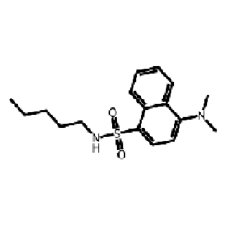 CCCCCNS(=O)(=O)c1ccc(N(C)C)c2ccccc12